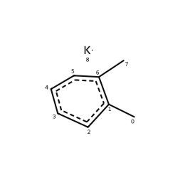 Cc1ccccc1C.[K]